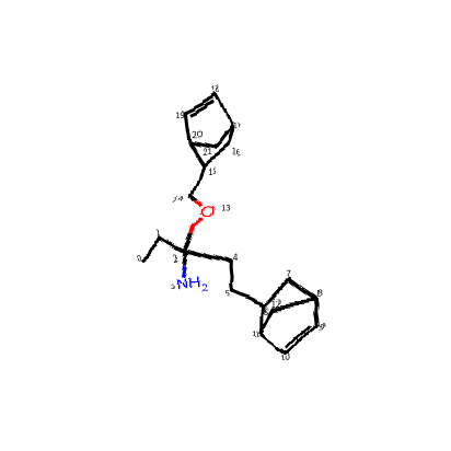 CCC(N)(CCC1CC2C=CC1C2)OCC1CC2C=CC1C2